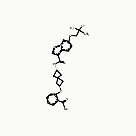 CC(C)(O)COc1ccc2c(C(=O)N[C@H]3CC4(C3)C[C@H](Oc3ccccc3C(N)=O)C4)cnn2c1